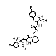 CC(C)(/C=C(\C#N)C(=O)N1CCCC[C@@H]1COC(=O)N[C@@H](Cc1ccc(F)cc1)B(O)O)N1CC[C@@H](F)C1